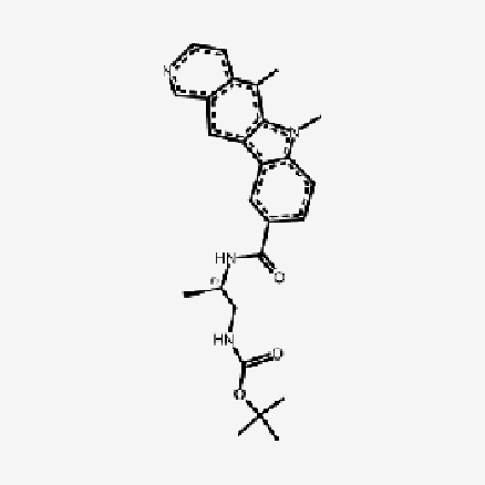 Cc1c2ccncc2cc2c3cc(C(=O)N[C@H](C)CNC(=O)OC(C)(C)C)ccc3n(C)c12